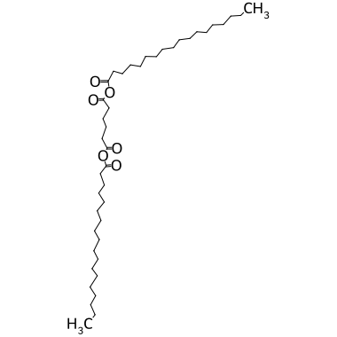 CCCCCCCCCCCCCCCCCC(=O)OC(=O)CCCCC(=O)OC(=O)CCCCCCCCCCCCCCCCC